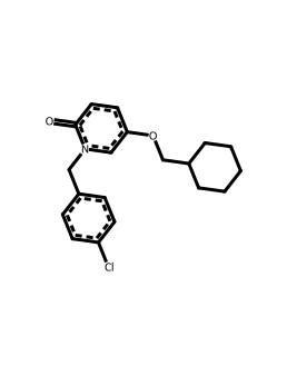 O=c1ccc(OCC2CCCCC2)cn1Cc1ccc(Cl)cc1